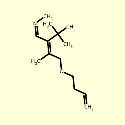 C=CCCOC/C(C)=C(/C=N\C)C(C)(C)C